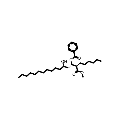 CCCCCCCCCCC[C@@H](O)C[C@H](OC(=O)c1ccccc1)[C@@H](CCCCCC)C(=O)OC